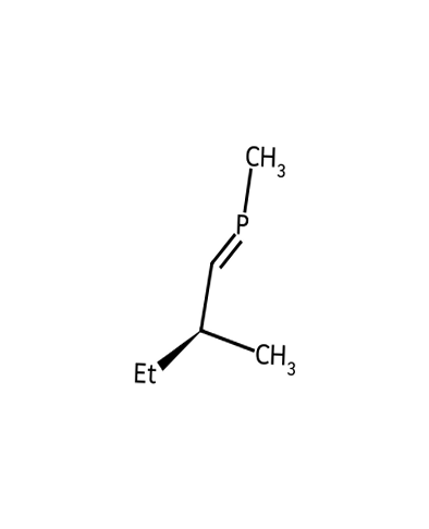 CC[C@H](C)/C=P/C